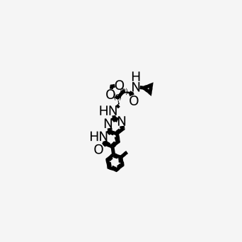 Cc1ccccc1-c1cc2cnc(NC[C@@H]3OCO[C@H]3C(=O)NC3CC3)nc2[nH]c1=O